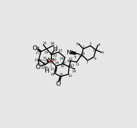 CC1CC(C)(C)CC[C@]1(C#N)CC[C@]1(C)CC(=O)C=C2[C@@]3(C)[C@H]4O[C@@]4(C#N)C(=O)C(C)(C)[C@@H]3CC[C@]21C